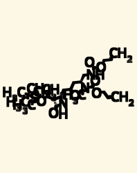 C=CCOC(=O)NC[C@H](CC(=O)C[C@H]1NC(=O)[C@@H]1[C@@H](C)O[Si](C)(C)C(C)(C)C)N(C)C(=O)OCC=C